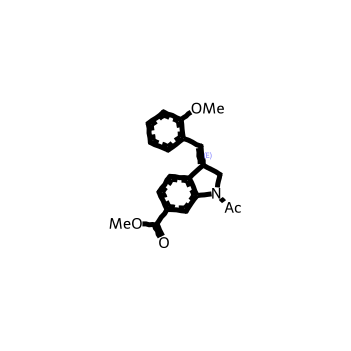 COC(=O)c1ccc2c(c1)N(C(C)=O)C/C2=C/c1ccccc1OC